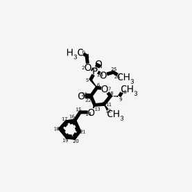 CCOP(=O)(C[C@H]1O[C@H](CC)[C@@H](C)[C@H](OCc2ccccc2)C1=O)OCC